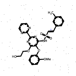 COc1ccccc1Oc1c(NS(=O)(=O)/C=C/c2cccc(C)c2)nc(-c2ncccn2)nc1OCCO